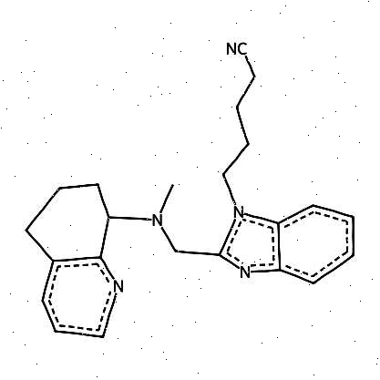 CN(Cc1nc2ccccc2n1CCCCC#N)C1CCCc2cccnc21